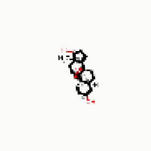 C[C@]12CC[C@@H]3[C@@]45CC[C@H](O)C[C@@H]4CC[C@@]3(OC5)C1=CC[C@@H]2O